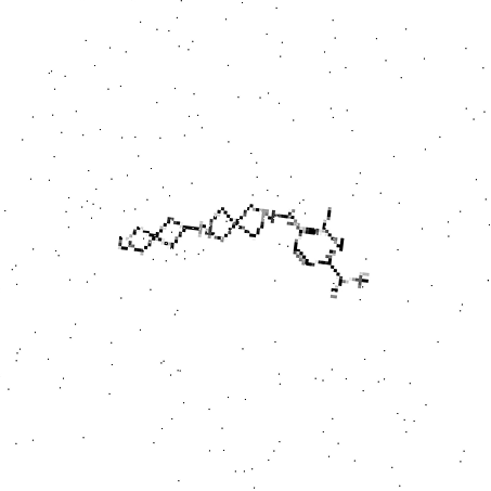 Cc1nc(C(F)F)ccc1SN1CC2(C1)CN(C1CC3(COC3)C1)C2